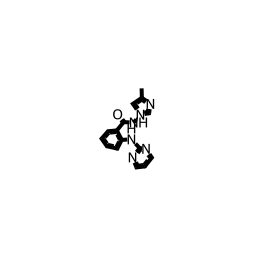 Cc1cn(NC(=O)c2ccccc2Nc2ncccn2)cn1